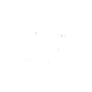 CCNCc1c(F)c(F)c(S(=O)(=O)O)c(F)c1F